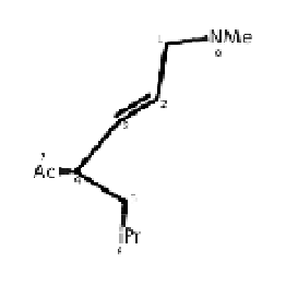 CNC/C=C/[C@@H](CC(C)C)C(C)=O